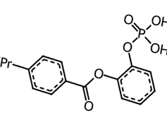 CC(C)c1ccc(C(=O)Oc2ccccc2OP(=O)(O)O)cc1